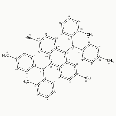 Cc1ccc(N(c2ccccc2C)c2c3ccc(C(C)(C)C)cc3c(N(c3ccc(C)cc3)c3ccccc3C)c3ccc(C(C)(C)C)cc23)cc1